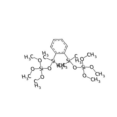 CO[Si](OC)(OC)O[Si](C)(C)c1ccccc1[Si](C)(C)O[Si](OC)(OC)OC